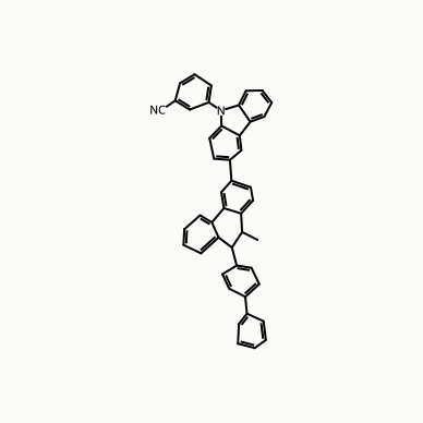 CC1c2ccc(-c3ccc4c(c3)c3ccccc3n4-c3cccc(C#N)c3)cc2-c2ccccc2C1c1ccc(-c2ccccc2)cc1